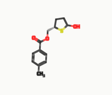 Cc1ccc(C(=O)OC[C@@H]2CCC(O)S2)cc1